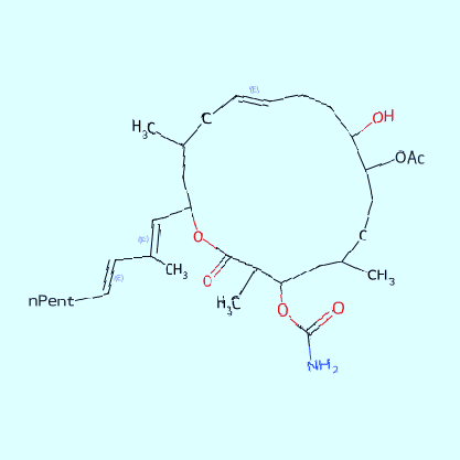 CCCCC/C=C/C(C)=C/C1CC(C)C/C=C/CCC(O)C(OC(C)=O)CCC(C)CC(OC(N)=O)C(C)C(=O)O1